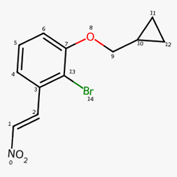 O=[N+]([O-])/C=C/c1cccc(OCC2CC2)c1Br